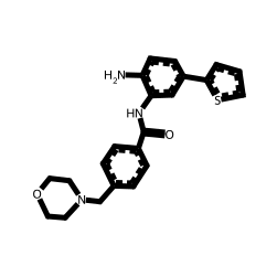 Nc1ccc(-c2cccs2)cc1NC(=O)c1ccc(CN2CCOCC2)cc1